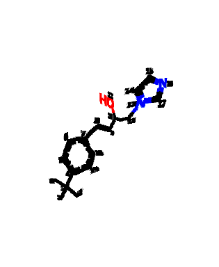 CC(C)(C)c1ccc(/C=C/C(O)Cn2ccnc2)cc1